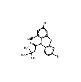 CC(C)(C)OC(=O)N1c2ccc(Br)cc2Sc2cc(Br)cc(C#N)c21